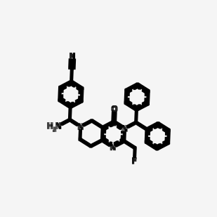 N#Cc1ccc(C(N)N2CCc3nc(CF)n(C(c4ccccc4)c4ccccc4)c(=O)c3C2)cc1